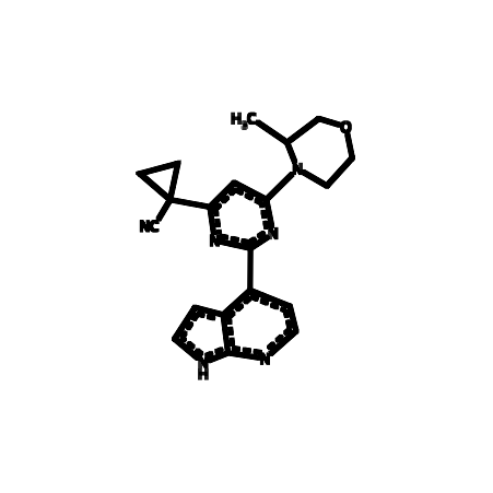 CC1COCCN1c1cc(C2(C#N)CC2)nc(-c2ccnc3[nH]ccc23)n1